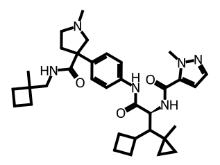 CN1CCC(C(=O)NCC2(C)CCC2)(c2ccc(NC(=O)[C@@H](NC(=O)c3ccnn3C)C(C3CCC3)C3(C)CC3)cc2)C1